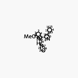 COc1cccc2c(-c3cncc(-c4ccccc4)c3)c(CCN3CCOCC3)[nH]c12